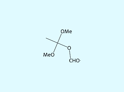 COC(C)(OC)O[C]=O